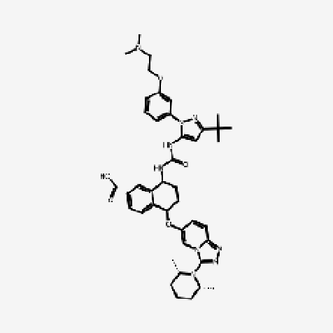 C[C@@H]1CCC[C@H](C)N1c1nnc2ccc(O[C@@H]3CC[C@H](NC(=O)Nc4cc(C(C)(C)C)nn4-c4cccc(OCCN(C)C)c4)c4ccccc43)cn12.O=CO